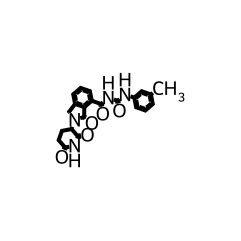 Cc1cccc(NC(=O)NC(=O)c2cccc3c2C(=O)N(C2CCC(=O)NC2=O)C3)c1